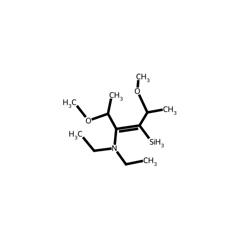 CCN(CC)C(=C([SiH3])C(C)OC)C(C)OC